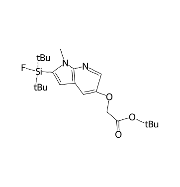 Cn1c([Si](F)(C(C)(C)C)C(C)(C)C)cc2cc(OCC(=O)OC(C)(C)C)cnc21